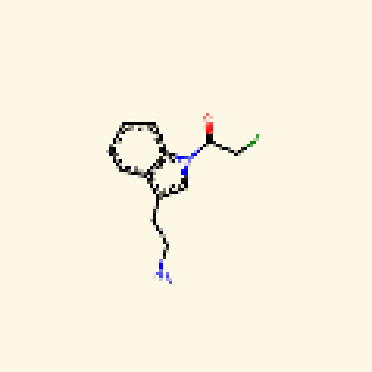 NCCc1cn(C(=O)CF)c2ccccc12